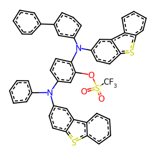 O=S(=O)(Oc1cc(N(c2ccccc2)c2ccc3sc4ccccc4c3c2)ccc1N(c1cccc(-c2ccccc2)c1)c1ccc2sc3ccccc3c2c1)C(F)(F)F